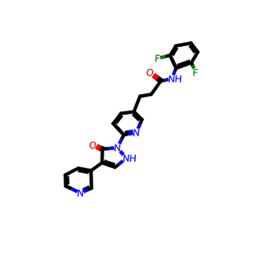 O=C(CCc1ccc(-n2[nH]cc(-c3cccnc3)c2=O)nc1)Nc1c(F)cccc1F